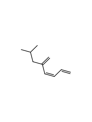 C=C/C=C\C(=C)CC(C)C